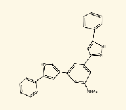 CC(=O)Nc1cc(-c2cc(-c3ccccc3)[nH]n2)cc(-c2cc(-c3ccccc3)[nH]n2)c1